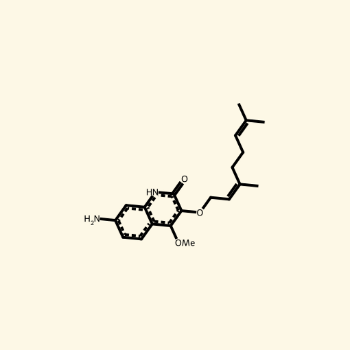 COc1c(OCC=C(C)CCC=C(C)C)c(=O)[nH]c2cc(N)ccc12